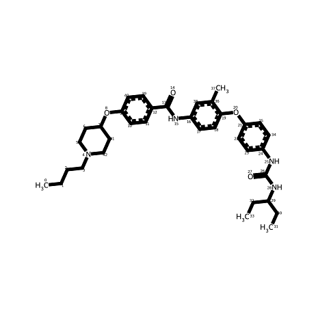 CCCCN1CCC(Oc2ccc(C(=O)Nc3ccc(Oc4ccc(NC(=O)NC(CC)CC)cc4)c(C)c3)cc2)CC1